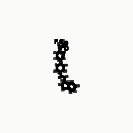 O=S(=O)(Oc1ccc(N2CCN(CCC3CCc4ccccc43)CC2)cc1)C(F)(F)F